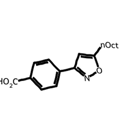 CCCCCCCCc1cc(-c2ccc(C(=O)O)cc2)no1